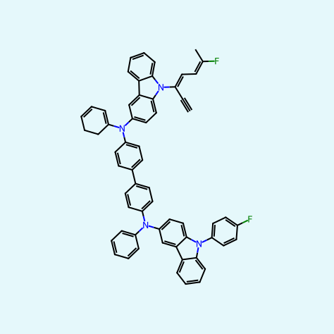 C#C/C(=C\C=C(/C)F)n1c2ccccc2c2cc(N(C3=CC=CCC3)c3ccc(-c4ccc(N(c5ccccc5)c5ccc6c(c5)c5ccccc5n6-c5ccc(F)cc5)cc4)cc3)ccc21